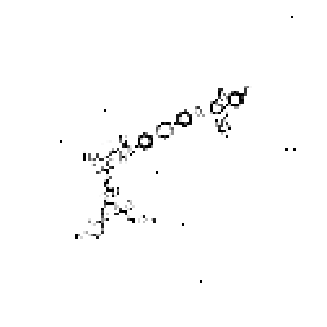 CCCCCCCCCCCC(=O)OCC(COC(=O)CCCCCCCCCCC)OC(=O)/C=C/C(=O)O[C@@H](C)[C@H](CC)n1ncn(-c2ccc(N3CCN(c4ccc(OC[C@@H]5CO[C@@](Cn6cncn6)(c6ccc(F)cc6F)C5)cc4)CC3)cc2)c1=O